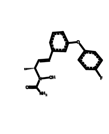 C[C@H](/C=C/c1cccc(Oc2ccc(F)cc2)c1)N(O)C(N)=O